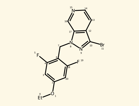 CCOc1cc(F)c(Cn2nc(Br)c3ccncc32)c(F)c1